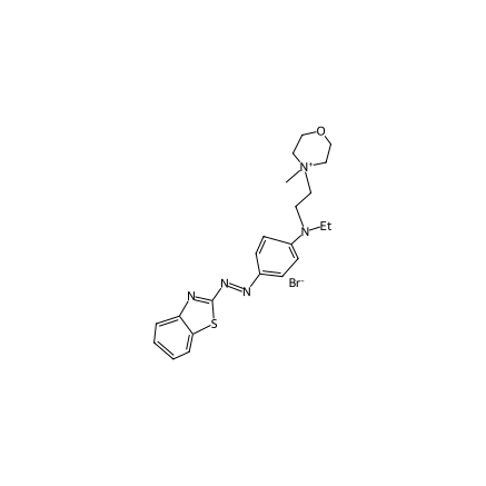 CCN(CC[N+]1(C)CCOCC1)c1ccc(N=Nc2nc3ccccc3s2)cc1.[Br-]